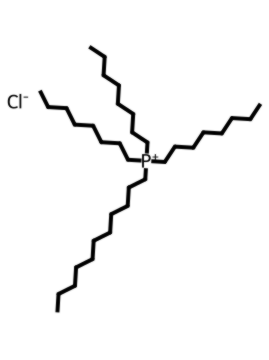 CCCCCCCCCCC[P+](CCCCCCCC)(CCCCCCCC)CCCCCCCC.[Cl-]